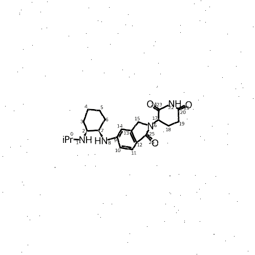 CC(C)N[C@H]1CCCC[C@H]1Nc1ccc2c(c1)CN(C1CCC(=O)NC1=O)C2=O